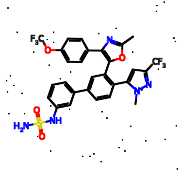 Cc1nc(-c2ccc(OC(F)(F)F)cc2)c(-c2cc(-c3cccc(NS(N)(=O)=O)c3)ccc2-c2cc(C(F)(F)F)nn2C)o1